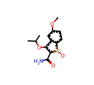 COc1ccc2c(c1)c(OC(C)C)c(C(N)=O)[s+]2[O-]